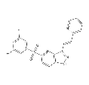 O=S(=O)(c1cc(F)cc(F)c1)c1ccc2[nH]nc(/C=C/c3ccccn3)c2n1